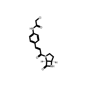 O=C(CCl)Nc1ccc(/C=C/C(=O)N2CC[C@H]3NC(=O)[C@H]32)cc1